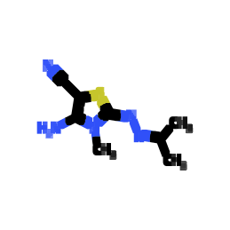 CC(C)=NN=c1sc(C#N)c(N)n1C